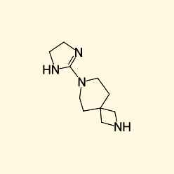 C1CNC(N2CCC3(CC2)CNC3)=N1